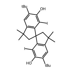 CC(C)(C)c1cc2c(c(I)c1O)C1(CC2(C)C)CC(C)(C)c2cc(C(C)(C)C)c(O)c(I)c21